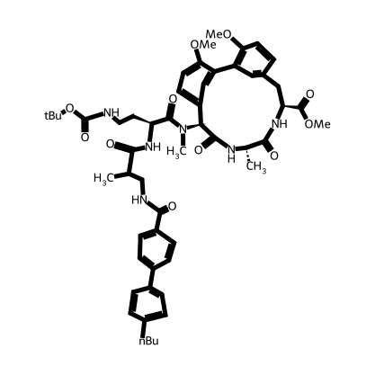 CCCCc1ccc(-c2ccc(C(=O)NCC(C)C(=O)N[C@@H](CCNC(=O)OC(C)(C)C)C(=O)N(C)[C@@H]3C(=O)N[C@@H](C)C(=O)N[C@H](C(=O)OC)Cc4ccc(OC)c(c4)-c4cc3ccc4OC)cc2)cc1